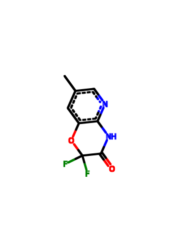 Cc1cnc2c(c1)OC(F)(F)C(=O)N2